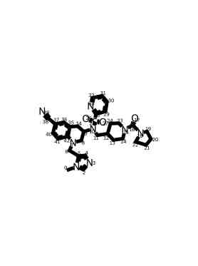 Cn1cncc1CN1CC(N(CC2CCN(C(=O)N3CCCC3)CC2)S(=O)(=O)c2ccccn2)Cc2cc(C#N)ccc21